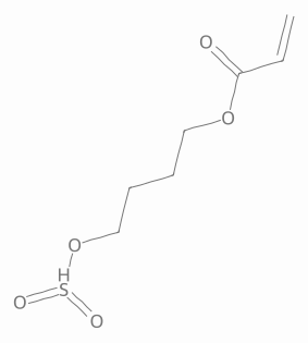 C=CC(=O)OCCCCO[SH](=O)=O